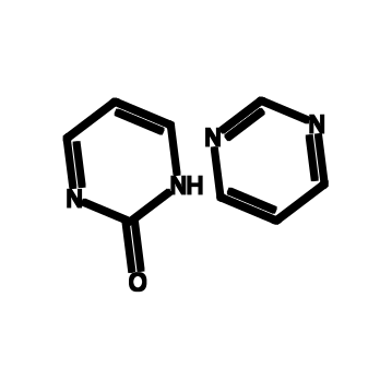 O=c1nccc[nH]1.c1cncnc1